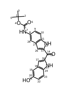 CC(C)(C)OC(=O)Nc1ccc2[nH]c(C(=O)c3cc4cc(O)ccc4[nH]3)cc2c1